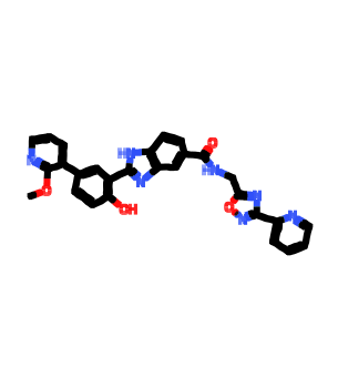 COc1ncccc1-c1ccc(O)c(-c2nc3cc(C(=O)NCc4nc(-c5ccccn5)no4)ccc3[nH]2)c1